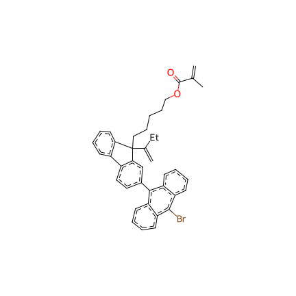 C=C(C)C(=O)OCCCCCC1(C(=C)CC)c2ccccc2-c2ccc(-c3c4ccccc4c(Br)c4ccccc34)cc21